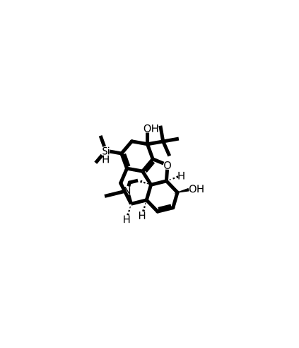 CN1CC[C@]23C4=C5O[C@H]2[C@@H](O)C=C[C@H]3[C@H]1CC4=C([SiH](C)C)CC5(O)C(C)(C)C